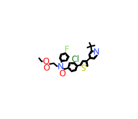 CCOC(=O)CCN(C(=O)c1ccc(-c2cc(-c3ccnc(C(C)(C)C)c3)cs2)c(Cl)c1)c1ccc(F)cc1